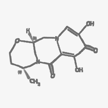 C[C@@H]1CCO[C@H]2Cn3cc(O)c(=O)c(O)c3C(=O)N12